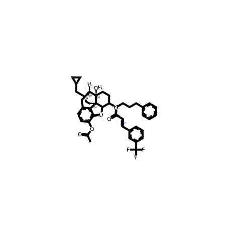 CC(=O)Oc1ccc2c3c1OC1C(N(CCCc4ccccc4)C(=O)/C=C/c4cccc(C(F)(F)F)c4)CC[C@@]4(O)[C@@H](C2)N(CC2CC2)CC[C@]314